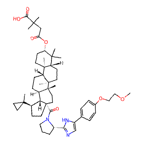 COCCOc1ccc(-c2cnc([C@@H]3CCCN3C(=O)[C@]34CC[C@@H](C5(C)CC5)[C@@H]3[C@H]3CC[C@@H]5[C@@]6(C)CC[C@H](OC(=O)CC(C)(C)C(=O)O)C(C)(C)[C@@H]6CC[C@@]5(C)[C@]3(C)CC4)[nH]2)cc1